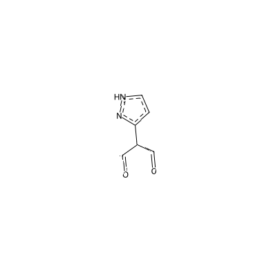 O=[C]C(C=O)c1cc[nH]n1